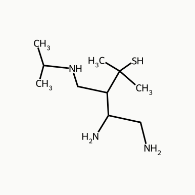 CC(C)NCC(C(N)CN)C(C)(C)S